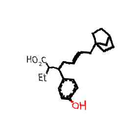 CCC(C(=O)O)C(CC=CCC12CCC(CC1)C2)c1ccc(O)cc1